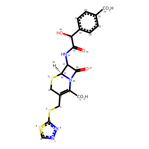 O=C(O)C1=C(CSc2nncs2)CS[C@H]2C(NC(=O)C(O)c3ccc(C(=O)O)cc3)C(=O)N12